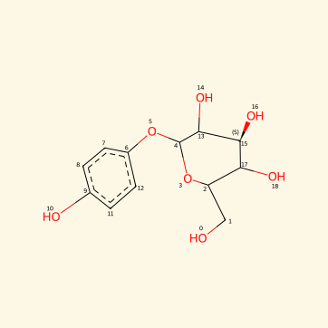 OCC1OC(Oc2ccc(O)cc2)C(O)[C@@H](O)C1O